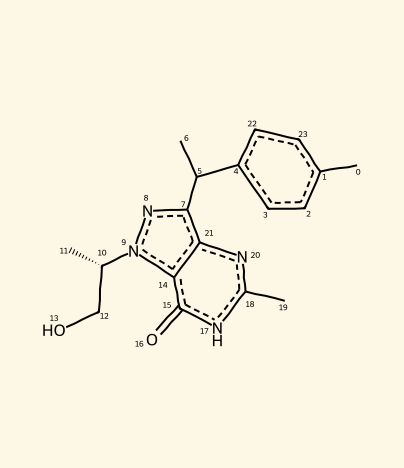 Cc1ccc(C(C)c2nn([C@@H](C)CO)c3c(=O)[nH]c(C)nc23)cc1